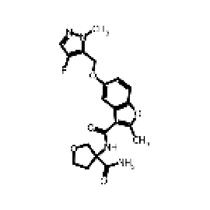 Cc1oc2ccc(OCc3c(F)cnn3C)cc2c1C(=O)NC1(C(N)=O)CCOC1